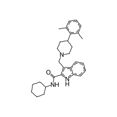 Cc1cccc(C)c1C1CCN(Cc2c(C(=O)NC3CCCCC3)[nH]c3ccccc23)CC1